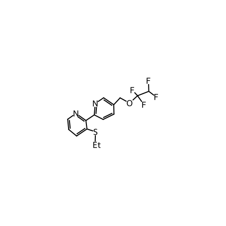 CCSc1cccnc1-c1ccc(COC(F)(F)C(F)F)cn1